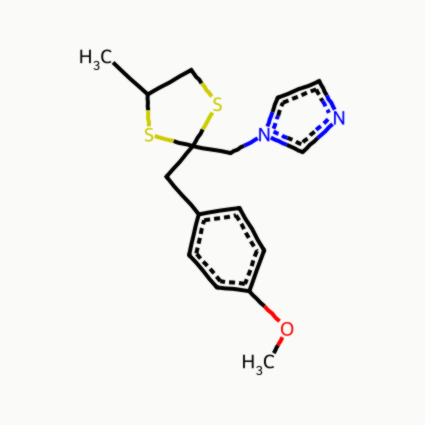 COc1ccc(CC2(Cn3ccnc3)SCC(C)S2)cc1